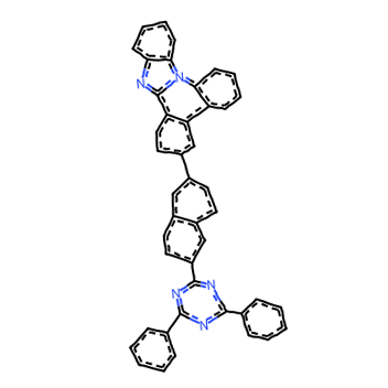 c1ccc(-c2nc(-c3ccccc3)nc(-c3ccc4cc(-c5ccc6c(c5)c5ccccc5n5c7ccccc7nc65)ccc4c3)n2)cc1